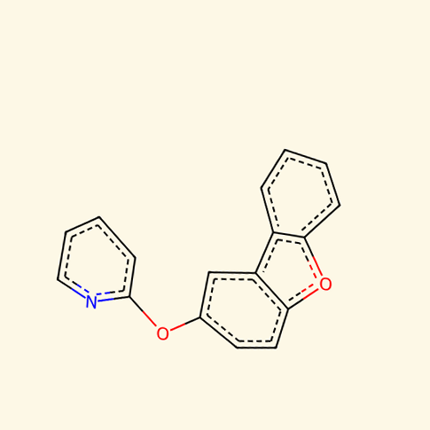 c1ccc(Oc2ccc3oc4ccccc4c3c2)nc1